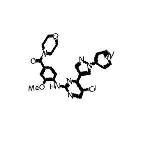 COc1cc(C(=O)N2CCOCC2)ccc1Nc1ncc(Cl)c(-c2cnn(-c3ccncc3)c2)n1